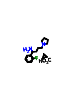 NC(CCCN1CCCC1)c1ccccc1F.O=C(O)C1CC1